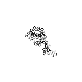 Cc1cc(C)cc(N(c2cc3c4cc(N(c5cc(C)c(Cc6ccc(N(c7cc8c9cc(N(c%10ccc(C)c(C)c%10)c%10cccc%11c%10oc%10ccccc%10%11)c%10ccccc%10c9oc8c8ccccc78)c7cccc8c7oc7ccccc78)cc6C)c(C)c5)c5cccc6c5oc5ccccc56)c5ccccc5c4oc3c3ccccc23)c2cccc3c2oc2ccccc23)c1